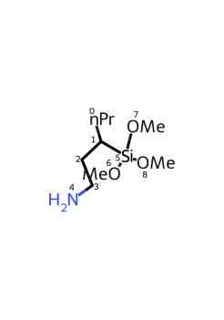 CCCC(CCN)[Si](OC)(OC)OC